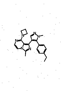 CCc1ccc(-c2c(-c3nc(C)n4ccnc(N5CCC5)c34)cnn2C)cc1